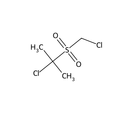 CC(C)(Cl)S(=O)(=O)CCl